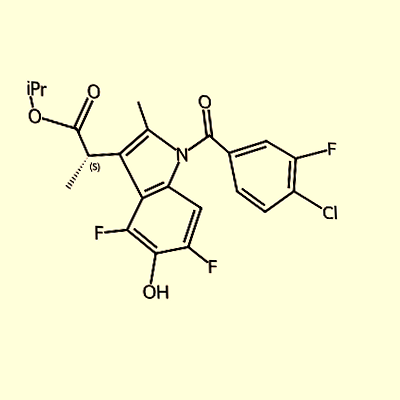 Cc1c([C@H](C)C(=O)OC(C)C)c2c(F)c(O)c(F)cc2n1C(=O)c1ccc(Cl)c(F)c1